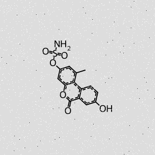 Cc1cc(OS(N)(=O)=O)cc2oc(=O)c3cc(O)ccc3c12